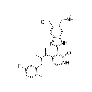 CNCc1cc2[nH]c(-c3c(NC(C)Cc4cc(F)ccc4C)cc[nH]c3=O)nc2cc1C=O